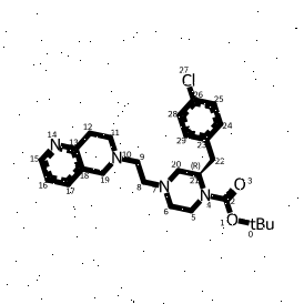 CC(C)(C)OC(=O)N1CCN(CCN2CCc3ncccc3C2)C[C@H]1Cc1ccc(Cl)cc1